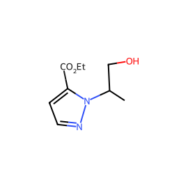 CCOC(=O)c1ccnn1C(C)CO